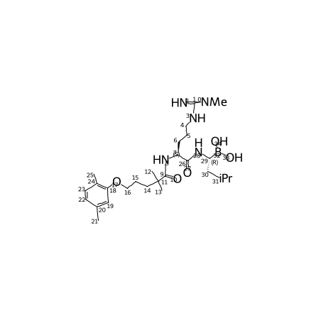 CNC(=N)NCCC[C@H](NC(=O)C(C)(C)CCCOc1cc(C)ccc1C)C(=O)N[C@@H](CC(C)C)B(O)O